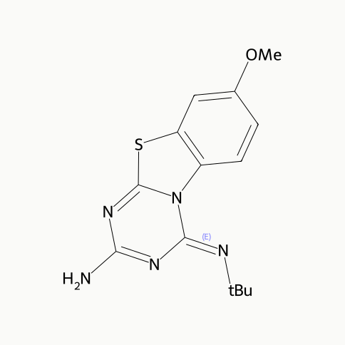 COc1ccc2c(c1)sc1nc(N)n/c(=N\C(C)(C)C)n12